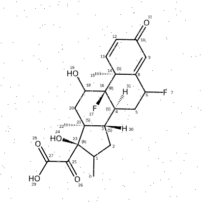 CC1C[C@H]2[C@@H]3CC(F)C4=CC(=O)C=C[C@]4(C)[C@@]3(F)C(O)C[C@]2(C)[C@@]1(O)C(=O)C(=O)O